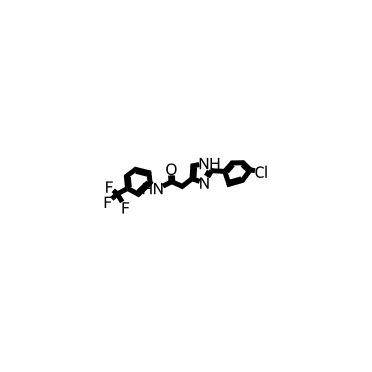 O=C(Cc1c[nH]c(-c2ccc(Cl)cc2)n1)Nc1cccc(C(F)(F)F)c1